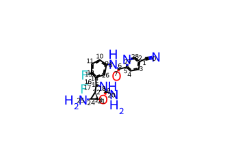 N#Cc1ccc(C(=O)Nc2ccc(F)c([C@@](CF)(NC(N)=O)[C@H]3C[C@H]3N)c2)nc1